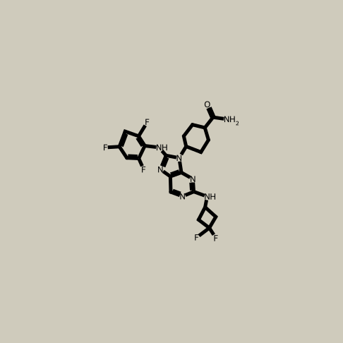 NC(=O)C1CCC(n2c(Nc3c(F)cc(F)cc3F)nc3cnc(NC4CC(F)(F)C4)nc32)CC1